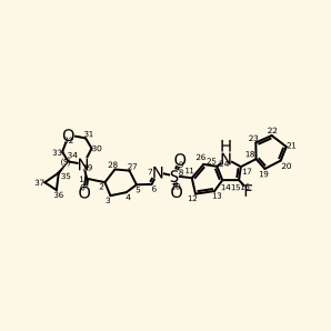 O=C(C1CCC(C=NS(=O)(=O)c2ccc3c(F)c(-c4ccccc4)[nH]c3c2)CC1)N1CCOC[C@@H]1C1CC1